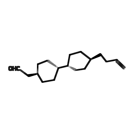 C=CCC[C@H]1CC[C@H]([C@H]2CC[C@H](CC=O)CC2)CC1